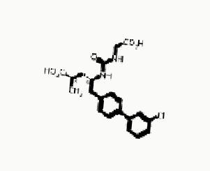 C[C@H](C[C@@H](Cc1ccc(-c2cccc(Cl)c2)cc1)NC(=O)NCC(=O)O)C(=O)O